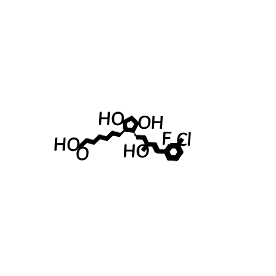 O=C(O)CCCCCC[C@@H]1[C@@H](CCC(O)/C=C/c2cccc(Cl)c2F)[C@H](O)C[C@@H]1O